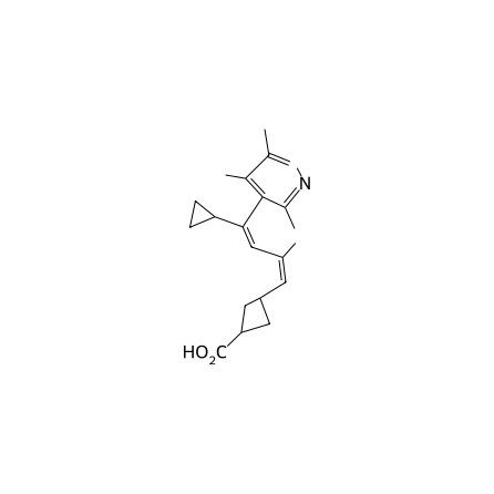 C=C(C)/C(C)=C(C(=C\C(C)=C/C1CC(C(=O)O)C1)/C1CC1)\C(C)=N/C